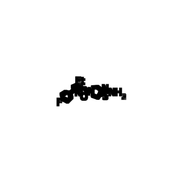 CCc1cc(-c2ccc(F)cc2)nn1CC(=O)N1CCc2nc(N)sc2CC1